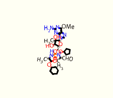 COc1nc(N)nc2c1ncn2[C@@H]1O[C@H](COP(=O)(N[C@@H](C)C(=O)OC2CCCCC2)N(OC2CCCC2)[C@@H](C)C=O)[C@@H](O)[C@@]1(C)O